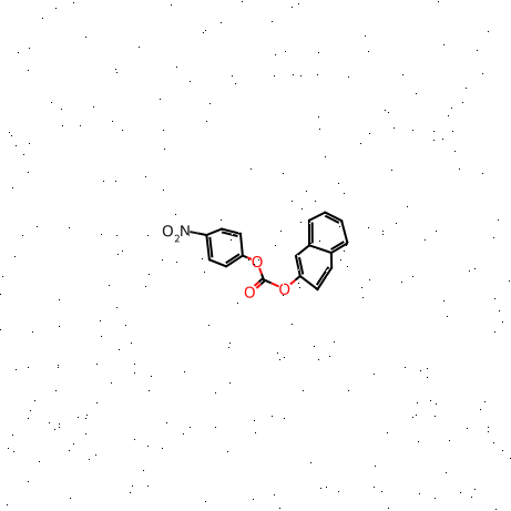 O=C(Oc1ccc([N+](=O)[O-])cc1)Oc1ccc2ccccc2c1